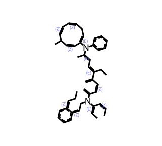 C=C(/C=C\C(=C)N(C/C=c1/cccc/c1=C/CC)C(/C=C\C)=C/C)/C(=C/C=C(\C)N(C1=C/C/C=C\C=C/C(C)/C=C\1)c1ccccc1)CC